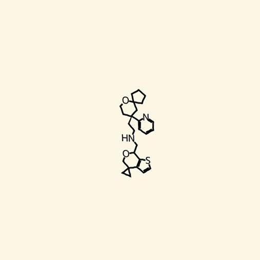 c1ccc([C@]2(CCNCC3OCC4(CC4)c4ccsc43)CCOC3(CCCC3)C2)nc1